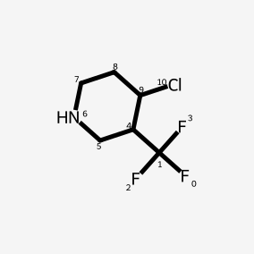 FC(F)(F)C1CNCCC1Cl